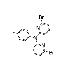 Cc1ccc(N(c2cccc(Br)n2)c2cccc(Br)n2)cc1